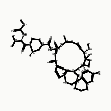 COC(=O)N[C@H](C(=O)N1CCN(C(=O)NS2(=O)=NC(=O)c3ccc4c(c3)N(C[C@@H]3CC[C@H]3[C@@H](OC)/C=C/C[C@H](C)C2)C[C@@]2(CCCc3cc(Cl)ccc32)CO4)C[C@@H]1C)C(C)C